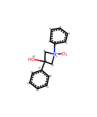 [O-][N+]1(c2ccccc2)CC(O)(c2ccccc2)C1